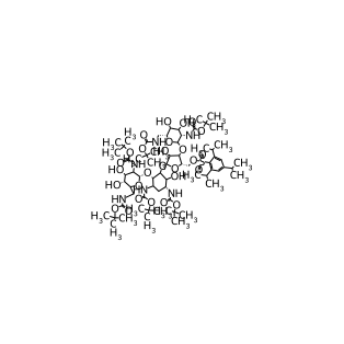 CC(C)c1cc(C(C)C)c(S(=O)(=O)OC[C@@H]2O[C@H](OC3C(O)[C@H](NC(=O)OC(C)(C)C)CC(NC(=O)OC(C)(C)C)[C@@H]3O[C@@H]3OC(CNC(=O)OC(C)(C)C)[C@H](O)C(O)C3NC(=O)OC(C)(C)C)C(O)C2OC2O[C@H](CNC(=O)OC(C)(C)C)C(O)C(O)[C@@H]2NC(=O)OC(C)(C)C)c(C(C)C)c1